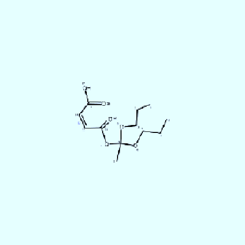 CCCOC(C)(OCCC)OC(=O)/C=C\C(=O)O